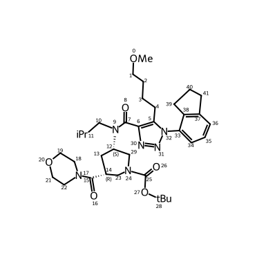 COCCCCc1c(C(=O)N(CC(C)C)[C@H]2C[C@@H](C(=O)N3CCOCC3)CN(C(=O)OC(C)(C)C)C2)nnn1-c1cccc2c1CCC2